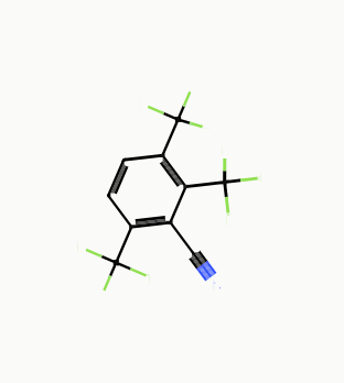 N#Cc1c(C(F)(F)F)ccc(C(F)(F)F)c1C(F)(F)F